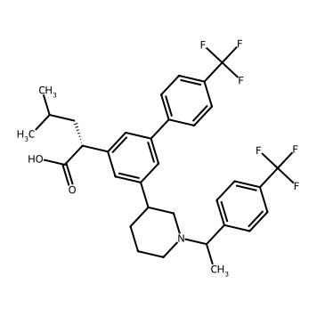 CC(C)C[C@@H](C(=O)O)c1cc(-c2ccc(C(F)(F)F)cc2)cc(C2CCCN(C(C)c3ccc(C(F)(F)F)cc3)C2)c1